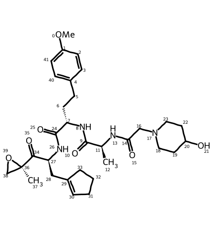 COc1ccc(CC[C@H](NC(=O)[C@H](C)NC(=O)CN2CCC(O)CC2)C(=O)N[C@@H](CC2=CCCC2)C(=O)[C@@]2(C)CO2)cc1